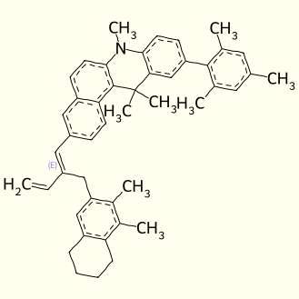 C=C/C(=C/c1ccc2c3c(ccc2c1)N(C)c1ccc(-c2c(C)cc(C)cc2C)cc1C3(C)C)Cc1cc2c(c(C)c1C)CCCC2